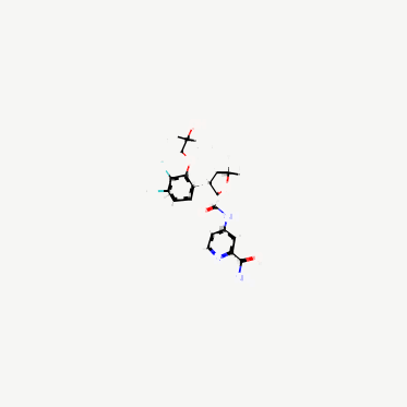 CC(C)(O)COc1c([C@H]2C[C@@](C)(C(F)(F)F)O[C@@H]2C(=O)Nc2ccnc(C(N)=O)c2)ccc(F)c1F